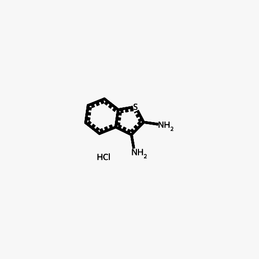 Cl.Nc1sc2ccccc2c1N